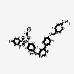 CN1CCC(COc2ccc(-c3cc(Nc4ccc(N(OC=O)S(=O)(=O)c5ccc(F)cc5F)cc4)ncn3)cc2)CC1